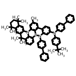 Cc1cc2c3c(c1)N1c4cc5c(cc4C(C)(C)c4cccc(c41)B3N(c1ccc(-c3ccccc3)cc1)c1cc(N(c3ccc(-c4ccccc4)cc3)c3ccc(C(C)(C)C)cc3)ccc1-2)C(C)(C)CCC5(C)C